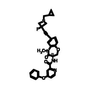 CN1C(=O)[C@@H](NC(=O)c2cc(Oc3ccccc3)ccn2)COc2ccc(C#CC3(F)CN(CC4CC4)C3)cc21